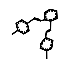 Cc1ccc(C=Cc2ccccc2C=Cc2ccc(C)cc2)cc1